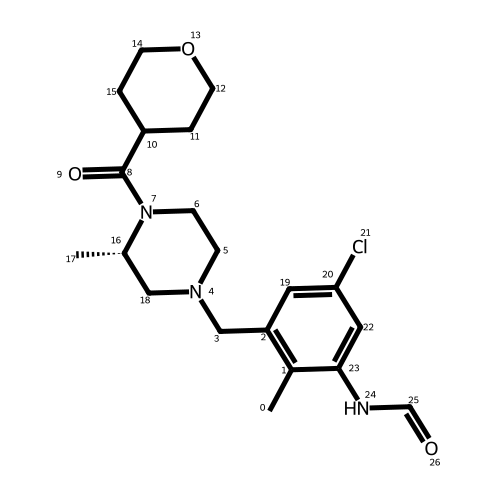 Cc1c(CN2CCN(C(=O)C3CCOCC3)[C@@H](C)C2)cc(Cl)cc1NC=O